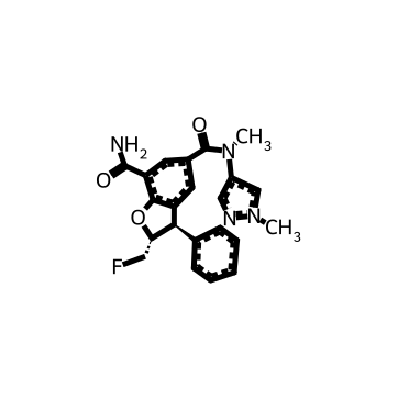 CN(C(=O)c1cc(C(N)=O)c2c(c1)[C@@H](c1ccccc1)[C@H](CF)O2)c1cnn(C)c1